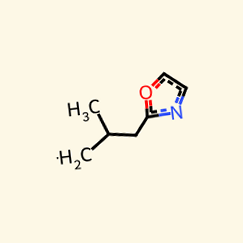 [CH2]C(C)Cc1ncco1